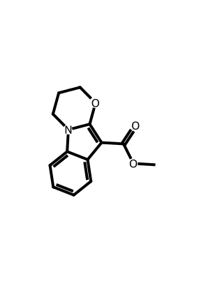 COC(=O)c1c2n(c3ccccc13)CCCO2